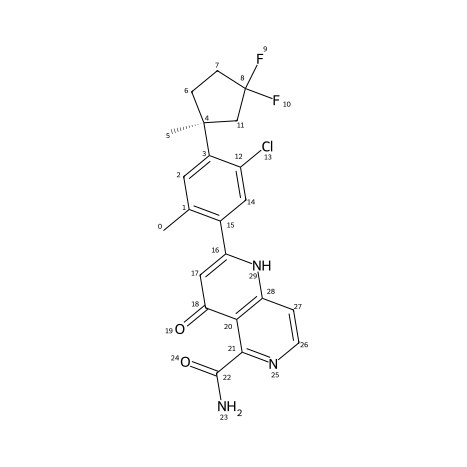 Cc1cc([C@@]2(C)CCC(F)(F)C2)c(Cl)cc1-c1cc(=O)c2c(C(N)=O)nccc2[nH]1